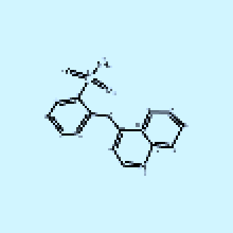 NS(=O)(=O)c1ccccc1Cc1ccnc2ccccc12